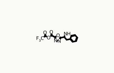 NC(Cc1ccccc1)c1nnc(C(=O)OC(=O)C(F)(F)F)o1